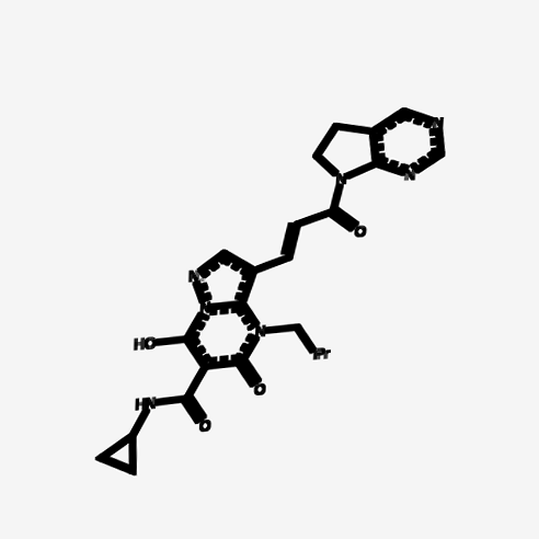 CC(C)Cn1c(=O)c(C(=O)NC2CC2)c(O)n2ncc(C=CC(=O)N3CCc4cncnc43)c12